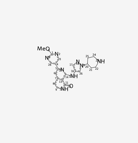 COc1ncc(-c2cc3cc[nH]c(=O)c3c(Nc3cnn(C4CCNCC4)c3)n2)cn1